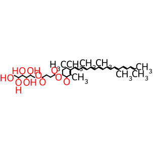 CC(C)=C/C=C/C(C)=C/C=C/C=C(C)/C=C/C=C(C)/C=C/C1=C(C)C(=O)C(OC(=O)CCC(=O)OCC(O)C(O)C(O)C(O)CO)CC1(C)C